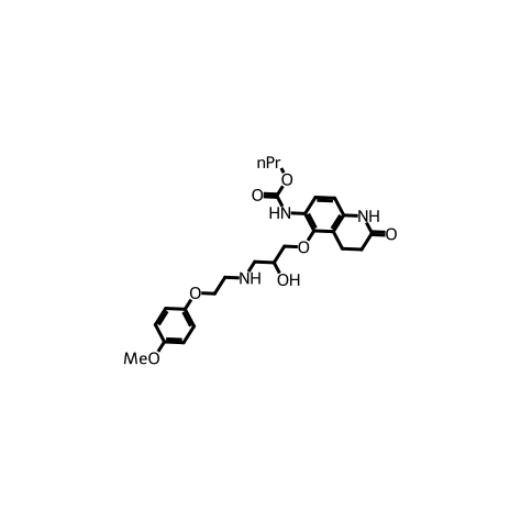 CCCOC(=O)Nc1ccc2c(c1OCC(O)CNCCOc1ccc(OC)cc1)CCC(=O)N2